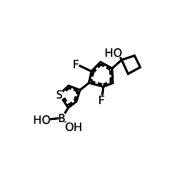 OB(O)c1cc(-c2c(F)cc(C3(O)CCC3)cc2F)cs1